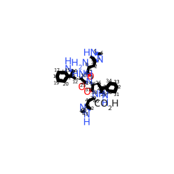 N[C@@H](Cc1c[nH]cn1)C(=O)N[C@@H](Cc1c[nH]c2ccccc12)C(=O)N[C@@H](Cc1c[nH]c2ccccc12)C(=O)N[C@@H](Cc1c[nH]cn1)C(=O)O